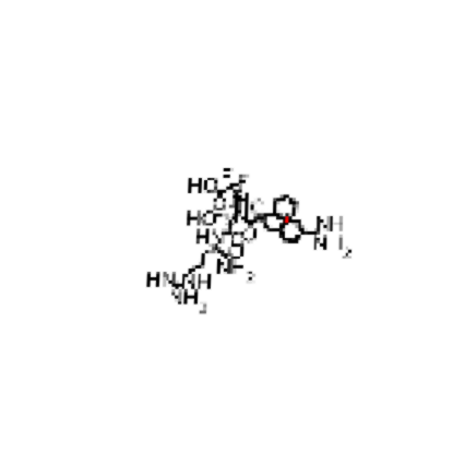 C[C@](Cc1ccc(C(=N)N)cc1)(C(=O)N[C@@H](CO)C(=O)N[C@@H](CCCNC(=N)N)C(N)=O)c1ccccc1.O=C(O)C(F)(F)F